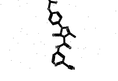 CC1=NN(c2ccc(OC(F)F)cc2)C(=O)C1C(=O)Nc1ccnc(C#N)c1